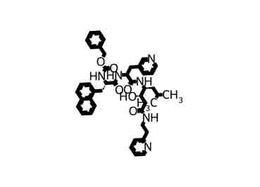 CC(C)C[C@H](NC(=O)C(Cc1cccnc1)NC(=O)[C@H](Cc1cccc2ccccc12)NC(=O)OCc1ccccc1)[C@@H](O)CC(=O)NCCc1ccccn1